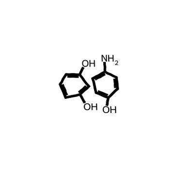 Nc1ccc(O)cc1.Oc1cccc(O)c1